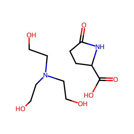 O=C1CCC(C(=O)O)N1.OCCN(CCO)CCO